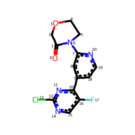 O=C1COCCN1c1cc(-c2nc(Cl)ncc2F)ccn1